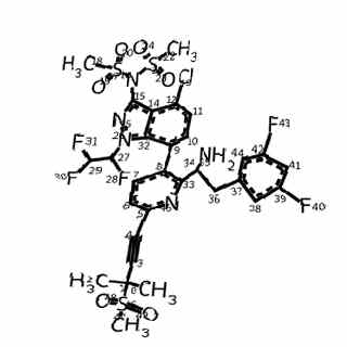 CC(C)(C#Cc1ccc(-c2ccc(Cl)c3c(N(S(C)(=O)=O)S(C)(=O)=O)nn(C(F)C(F)F)c23)c(C(N)Cc2cc(F)cc(F)c2)n1)S(C)(=O)=O